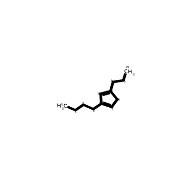 CCCCC1=[C]CC(CCC)=C1